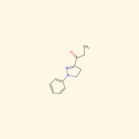 CCC(=O)C1=NN(c2ccccc2)CC1